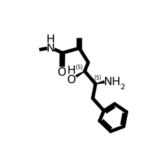 C=C(C[C@H](O)[C@@H](N)Cc1ccccc1)C(=O)NC